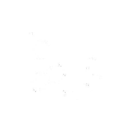 CC(C)(C)OC(=O)N1CCCC(Nc2nnc(-c3ccc(Cl)cc3)c3ccncc23)C1